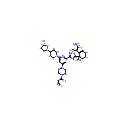 C=CC(=O)N1CCN(c2cc(-c3noc(C4(C)CCCc5sc(N)c(C#N)c54)n3)nc(N3CCC(N4CC[C@H](F)C4)CC3)c2)CC1